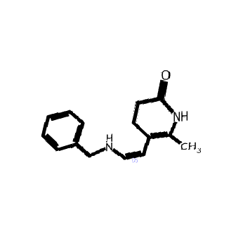 CC1=C(/C=C\NCc2ccccc2)CCC(=O)N1